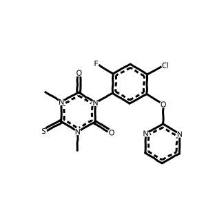 Cn1c(=S)n(C)c(=O)n(-c2cc(Oc3ncccn3)c(Cl)cc2F)c1=O